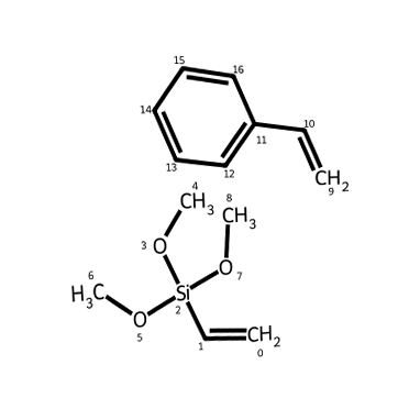 C=C[Si](OC)(OC)OC.C=Cc1ccccc1